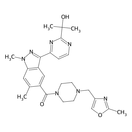 Cc1nc(CN2CCN(C(=O)c3cc4c(-c5ccnc(C(C)(C)O)n5)nn(C)c4cc3C)CC2)co1